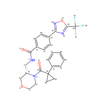 O=C(NC[C@H]1COCCN1C(=O)C1(c2ccccc2)CC1)c1ccc(-c2noc(C(F)(F)F)n2)cc1